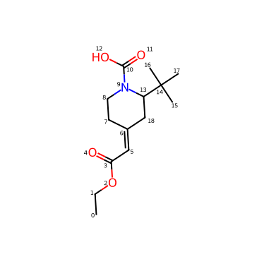 CCOC(=O)C=C1CCN(C(=O)O)C(C(C)(C)C)C1